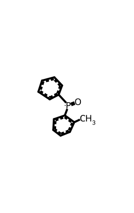 Cc1ccccc1[P](=O)c1ccccc1